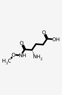 CONC(=O)[C@@H](N)CCC(=O)O